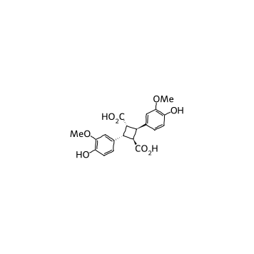 COc1cc([C@H]2[C@H](C(=O)O)[C@H](c3ccc(O)c(OC)c3)[C@H]2C(=O)O)ccc1O